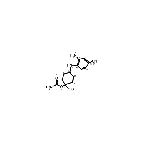 CC(C)(C)C1(OC(N)=O)CCC(Nc2ccc(C#N)cc2N)CC1